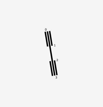 C#CC#C